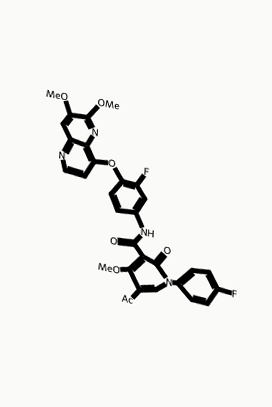 COc1cc2nccc(Oc3ccc(NC(=O)c4c(OC)c(C(C)=O)cn(-c5ccc(F)cc5)c4=O)cc3F)c2nc1OC